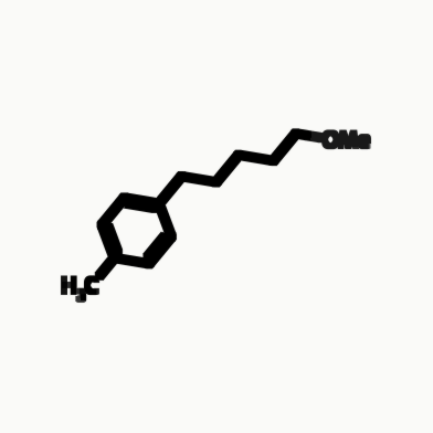 COCCCCCc1ccc(C)cc1